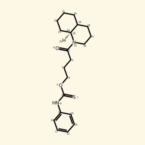 O=C(CCCOC(=S)Nc1ccccc1)N1CCCC2CCCC[C@@H]21